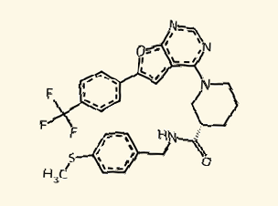 CSc1ccc(CNC(=O)[C@H]2CCCN(c3ncnc4oc(-c5ccc(C(F)(F)F)cc5)cc34)C2)cc1